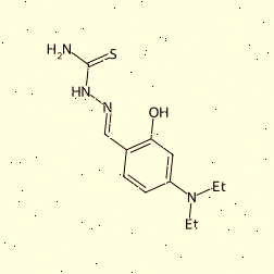 CCN(CC)c1ccc(/C=N/NC(N)=S)c(O)c1